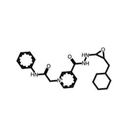 O=C(C[n+]1cccc(C(=O)NNC2OC2CC2CCCCC2)c1)Nc1ccccc1